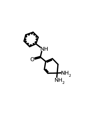 NC1(N)C=CC(C(=O)Nc2ccccc2)=CC1